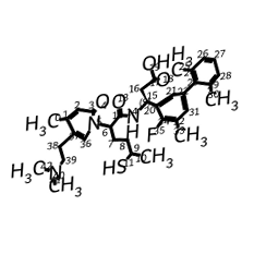 Cc1cc(=O)n(C(CCC(C)S)C(=O)N[C@@H](CC(=O)O)c2cc(-c3c(C)cccc3C)cc(C)c2F)cc1CCN(C)C